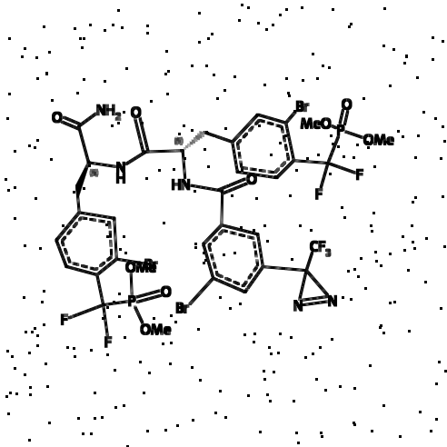 COP(=O)(OC)C(F)(F)c1ccc(C[C@H](NC(=O)[C@H](Cc2ccc(C(F)(F)P(=O)(OC)OC)c(Br)c2)NC(=O)c2cc(Br)cc(C3(C(F)(F)F)N=N3)c2)C(N)=O)cc1Br